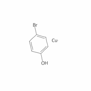 Oc1ccc(Br)cc1.[Cu]